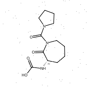 O=C(O)N[C@H]1CCCCN(C(=O)N2CCCC2)C1=O